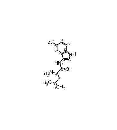 CC(C)C[C@@H](N)C(=O)Nc1c[nH]c2ccc(Br)cc12